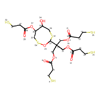 O=C(CCS)OCC(COC(=O)CCS)(COC(=O)CCS)C1OSCC(OC(=O)CCS)C(O)CS1